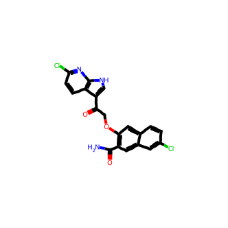 NC(=O)c1cc2cc(Cl)ccc2cc1OCC(=O)c1c[nH]c2nc(Cl)ccc12